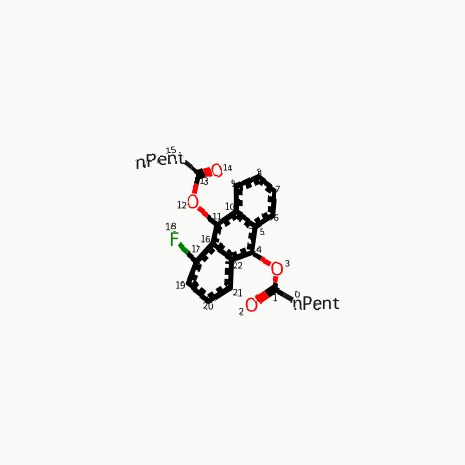 CCCCCC(=O)Oc1c2ccccc2c(OC(=O)CCCCC)c2c(F)cccc12